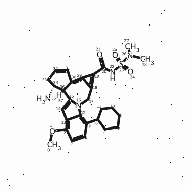 COc1ccc(C2CCCCC2)c2c1cc1n2CC2=C(C(=O)NS(=O)(=O)N(C)C)C2=C2C=CC[C@@H](N)[C@@H]21